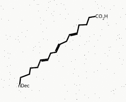 CCCCCCCCCCCCCCC=CCC=CCC=CCCCC(=O)O